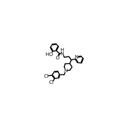 O=C(NCCC(c1ccccn1)C1CCN(Cc2ccc(Cl)c(Cl)c2)CC1)c1ccccc1O